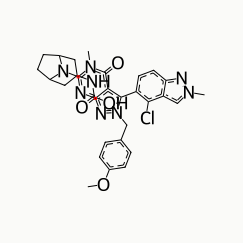 COc1ccc(Cn2nc3nc(N4C5CCC4CC(NC(=O)O)C5)n(C)c(=O)c3c2-c2ccc3nn(C)cc3c2Cl)cc1